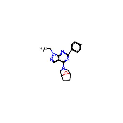 CCn1ncc2c(N3CC4CCC(C3)O4)nc(-c3cc[c]cc3)nc21